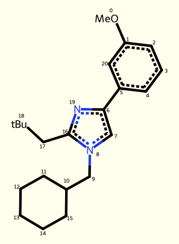 COc1cccc(-c2cn(CC3CCCCC3)c(CC(C)(C)C)n2)c1